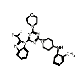 Cc1ccccc1NC1CCN(c2nc(N3CCOCC3)nc(-n3c(C(F)F)nc4ccccc43)n2)CC1